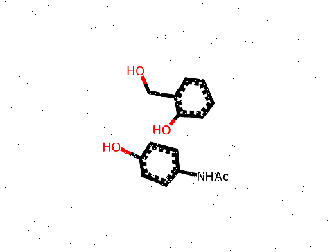 CC(=O)Nc1ccc(O)cc1.OCc1ccccc1O